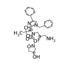 CC(C)(C)[C@H](c1nc(-c2ccccc2)cn1Cc1ccccc1)N(C[C@H](F)CN)C(=O)ON1C[C@@H](O)CO1